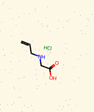 C=CCNCC(=O)O.Cl